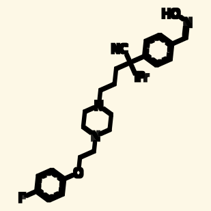 CC(C)C(C#N)(CCCN1CCN(CCOc2ccc(F)cc2)CC1)c1ccc(/C=N\O)cc1